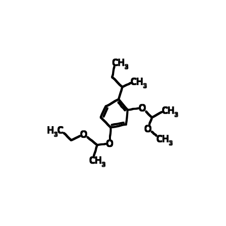 CCOC(C)Oc1ccc(C(C)CC)c(OC(C)OC)c1